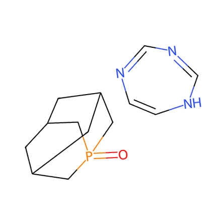 C1=CNC=NC=N1.O=P12CC3CC(CC(C3)C1)C2